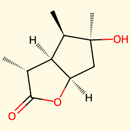 C[C@@H]1[C@H]2[C@@H](C[C@]1(C)O)OC(=O)[C@@H]2C